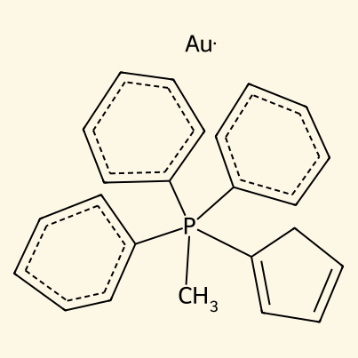 CP(C1=CC=CC1)(c1ccccc1)(c1ccccc1)c1ccccc1.[Au]